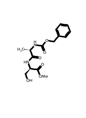 COC(=O)[C@@H](CO)NC(=O)[C@H](C)NC(=O)OCc1ccccc1